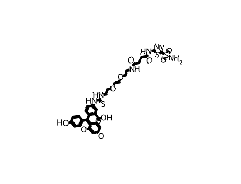 NS(=O)(=O)c1nnc(NC(=O)CCC(=O)NCCOCCOCCNC(=S)Nc2ccc(-c3c4ccc(=O)cc-4oc4cc(O)ccc34)c(C(=O)O)c2)s1